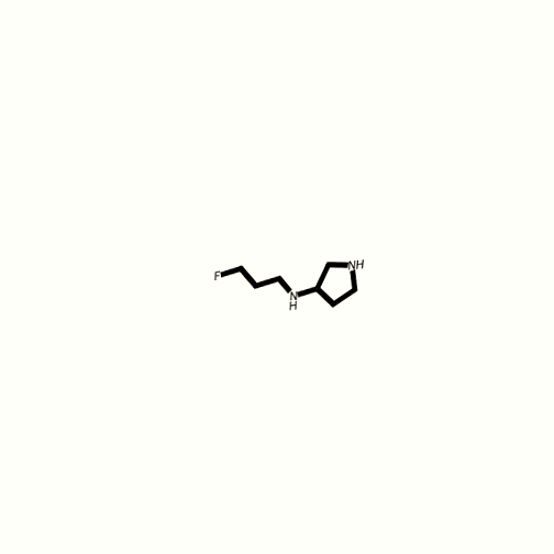 FCCCNC1CCNC1